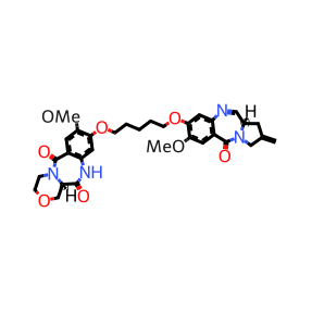 C=C1C[C@H]2C=Nc3cc(OCCCCCOc4cc5c(cc4OC)C(=O)N4CCOC[C@H]4C(=O)N5)c(OC)cc3C(=O)N2C1